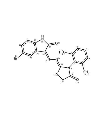 Cc1cccc(C)c1N1C(=O)CSC1=NN=C1C(=O)Nc2ccc(Br)cc21